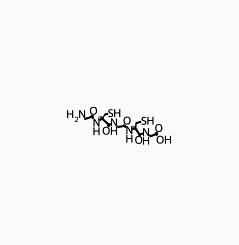 NCC(=O)N[C@@H](CS)C(=O)NCC(=O)N[C@@H](CS)C(=O)NCC(=O)O